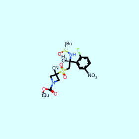 CC(C)(C)OC(=O)N1CC(C#N)(S(=O)(=O)C[C@](C)(N[S@+]([O-])C(C)(C)C)c2cc([N+](=O)[O-])ccc2F)C1